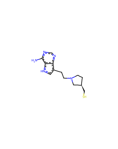 Nc1ncnc2c(CCN3CC[C@@H](CS)C3)c[nH]c12